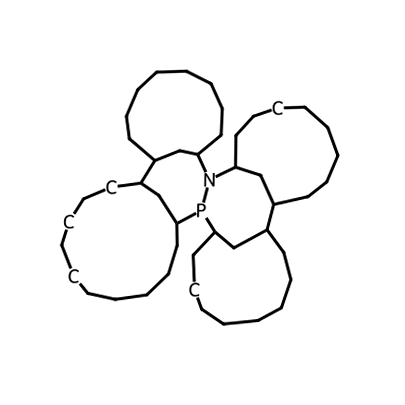 C1CCCCCC2CC(CCCC1)C1CCCCCCCCC(C1)N1C3CCCCCCCCC(C3)C3CCCCCCCCC(C3)P21